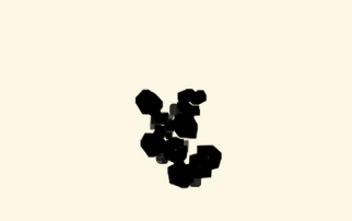 C=C/C=C\c1oc2c(-c3nc(-c4ccccc4)nc(-c4cccc5oc6c(-c7cccc8oc9cc%10ccccc%10cc9c78)cncc6c45)n3)cccc2c1C